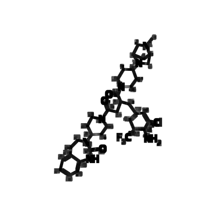 CN1CC2CC1CN2C1CCN(C(=O)C(CC(=O)N2CCC(N3CCc4ccccc4NC3=O)CC2)Cc2cc(Cl)c(N)c(C(F)(F)F)c2)CC1